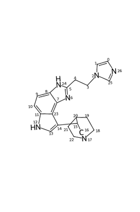 c1cn(CCc2nc3c(ccc4[nH]cc(C5CN6CCC5CC6)c43)[nH]2)cn1